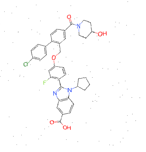 O=C(O)c1ccc2c(c1)nc(-c1ccc(OCc3cc(C(=O)N4CCC(O)CC4)ccc3-c3ccc(Cl)cc3)cc1F)n2C1CCCC1